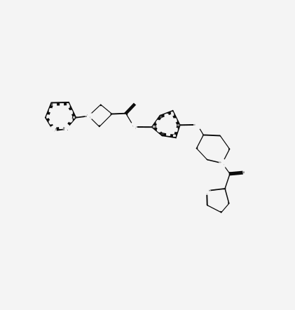 O=C(Nc1ccc(OC2CCN(C(=O)C3CCCO3)CC2)cc1)C1CN(c2cccnn2)C1